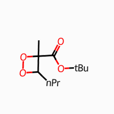 CCCC1OOC1(C)C(=O)OC(C)(C)C